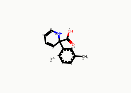 Cc1cccc(C2(C(=O)O)C=CC=CN2)c1.[Ir+3]